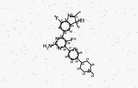 CCC1(C)C(C)=Nc2c(F)cc(-c3nc(N)nc(-c4ccc(C5CCN(C)CC5)cn4)c3F)cc21